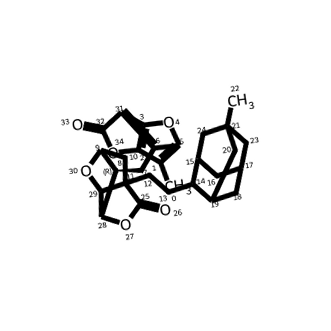 Cc1c2c3oc1c(C[C@@H]1C4CC5(CCC6C7CC8CC6CC(C)(C8)C7)C(=O)OC1C5O4)c3C(=O)O2